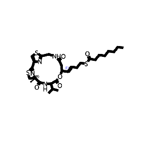 CCCCCCCC(=O)SCC/C=C/C1CC(=O)NCc2nc(cs2)C2=N[C@@](C)(CS2)C(=O)NC(C(C)C)C(=O)O1